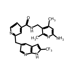 Cc1cc(N)nc(C)c1CNC(=O)c1ccnc(Cc2cnc3[nH]c(C(F)(F)F)cc3c2)c1